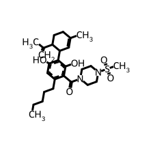 C=C(C)C1CCC(C)=CC1c1c(O)cc(CCCCC)c(C(=O)N2CCN(S(C)(=O)=O)CC2)c1O